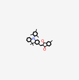 Cc1cc(C)c(N2c3ccccc3C(C)(C)c3cc(/C=C4/C(=O)c5ccc(C)cc5C4=O)ccc32)c(C)c1